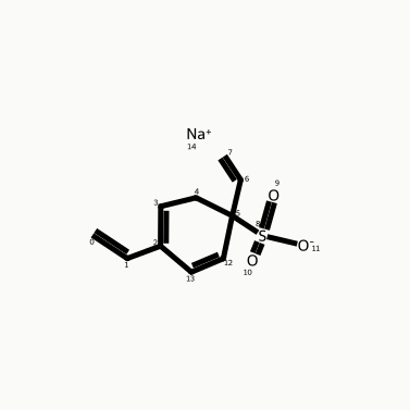 C=CC1=CCC(C=C)(S(=O)(=O)[O-])C=C1.[Na+]